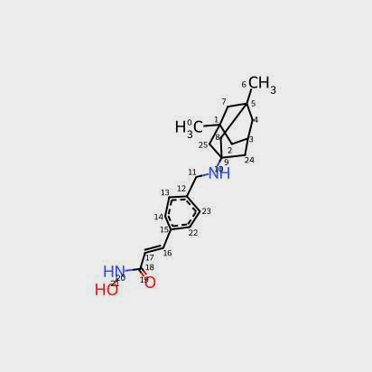 CC12CC3CC(C)(C1)CC(NCc1ccc(C=CC(=O)NO)cc1)(C3)C2